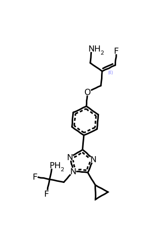 NC/C(=C\F)COc1ccc(-c2nc(C3CC3)n(CC(F)(F)P)n2)cc1